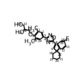 Cc1cc(-c2noc(C=CC3(c4ccc(F)cc4)CCCCC3)n2)cc(C)c1OC[C@@H](O)CO